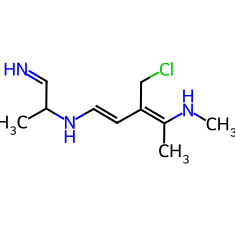 CN/C(C)=C(/C=CNC(C)C=N)CCl